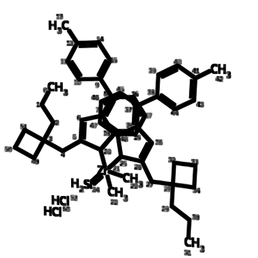 CCCC1(CC2=Cc3c(-c4ccc(C)cc4)cccc3[CH]2[Zr]([CH3])([CH3])(=[SiH2])[CH]2C(CC3(CCC)CCC3)=Cc3c(-c4ccc(C)cc4)cccc32)CCC1.Cl.Cl